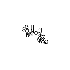 COc1cc2ncnc(Nc3ccc(O[C@H]4CO[C@H]5[C@@H]4OC[C@@H]5OC(C)=O)c(Cl)c3)c2cc1OC